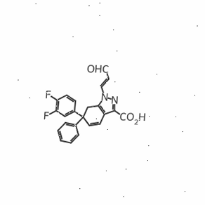 O=CC=Cn1nc(C(=O)O)c2c1CC(c1ccccc1)(c1ccc(F)c(F)c1)C=C2